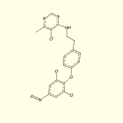 Cc1ncnc(NCCc2ccc(Oc3c(Cl)cc(N=O)cc3Cl)cc2)c1Cl